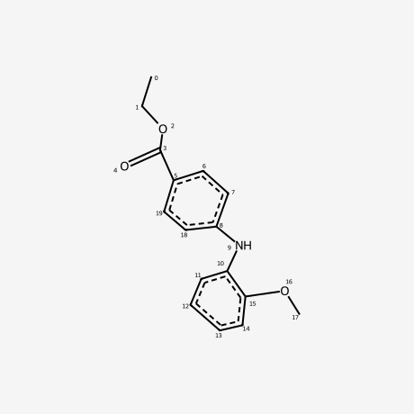 CCOC(=O)c1ccc(Nc2ccccc2OC)cc1